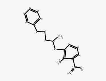 Nc1c(OC(N)CCCc2ccccc2)cccc1[N+](=O)[O-]